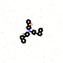 c1ccc2c(-c3ccc(N(c4ccc5c(c4)oc4ccccc45)c4ccc5c(c4)sc4ccc6ccccc6c45)cc3)cccc2c1